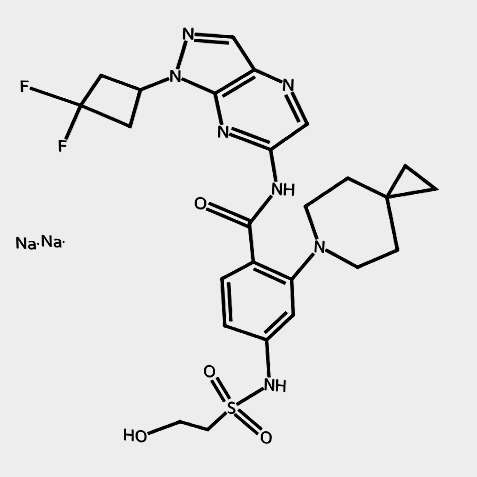 O=C(Nc1cnc2cnn(C3CC(F)(F)C3)c2n1)c1ccc(NS(=O)(=O)CCO)cc1N1CCC2(CC1)CC2.[Na].[Na]